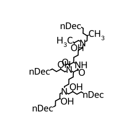 CCCCCCCCCCCCC(C)CN(CCCCC1NC(=O)C(CCCCN(CC(O)CCCCCCCCCCCC)CC(O)CCCCCCCCCCCC)N(CC(O)CCCCCCCCCCCC)C1=O)CC(C)O